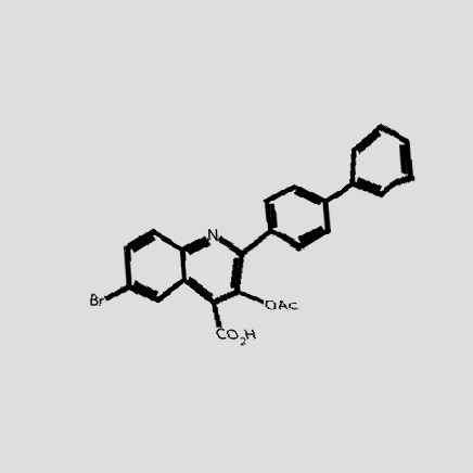 CC(=O)Oc1c(-c2ccc(-c3ccccc3)cc2)nc2ccc(Br)cc2c1C(=O)O